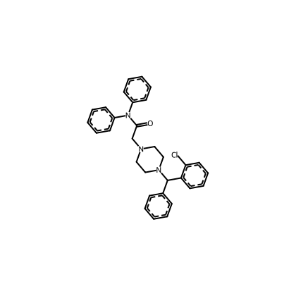 O=C(CN1CCN(C(c2ccccc2)c2ccccc2Cl)CC1)N(c1ccccc1)c1ccccc1